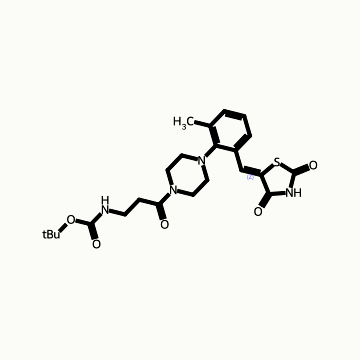 Cc1cccc(/C=C2\SC(=O)NC2=O)c1N1CCN(C(=O)CCNC(=O)OC(C)(C)C)CC1